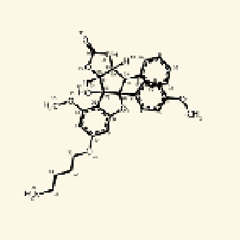 COc1ccc([C@@]23Oc4cc(OCCCCN)cc(OC)c4[C@]2(O)[C@@H]2OC(=O)N[C@@H]2[C@H]3c2ccccc2)cc1